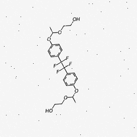 CC(OCCO)Oc1ccc(C(F)(F)C(F)(F)c2ccc(OC(C)OCCO)cc2)cc1